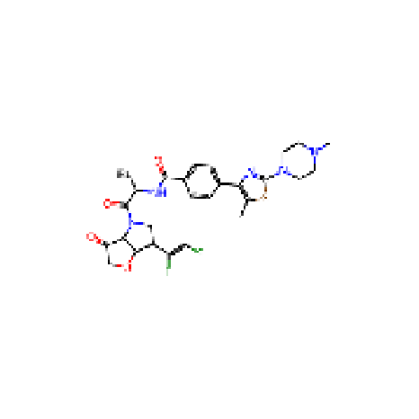 CCC(C)C(NC(=O)c1ccc(-c2nc(N3CCN(C)CC3)sc2C)cc1)C(=O)N1CC(/C(F)=C/F)C2OCC(=O)C21